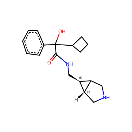 O=C(NC[C@H]1C2CNC[C@@H]21)C(O)(c1ccccc1)C1CCC1